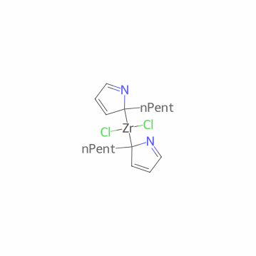 CCCCC[C]1([Zr]([Cl])([Cl])[C]2(CCCCC)C=CC=N2)C=CC=N1